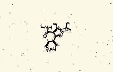 CNC(=O)c1c(-c2ccnnc2)nn(C(C)C)c1C